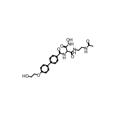 CC(=O)NCCNC(=O)C(NC(=O)c1ccc(-c2ccc(OCCO)cc2)cc1)C(=O)NO